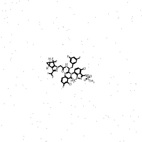 Cn1nc(NS(C)(=O)=O)c2c(Cl)ccc(-n3c([C@H](Cc4cc(F)cc(F)c4)NC(=O)Cn4nc(C(F)F)c5c4C(F)(F)[C@@H]4C[C@H]54)nc4ccc(F)c(Cl)c4c3=O)c21